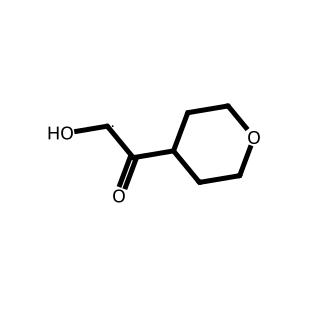 O=C([CH]O)C1CCOCC1